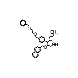 COCC1CNCC(OCc2ccc3ccccc3c2)C1c1ccc(COCCOCc2ccccc2)cc1